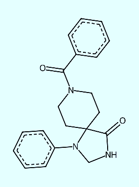 O=C(c1ccccc1)N1CCC2(CC1)C(=O)NCN2c1ccccc1